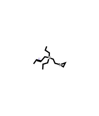 C/C=C/C[Si](CCC)(CCC)CCN1CC1